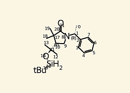 C[C@H](c1ccccc1)N1C[C@H](C(C)(C)O[SiH2]C(C)(C)C)C(C)(C)C1=O